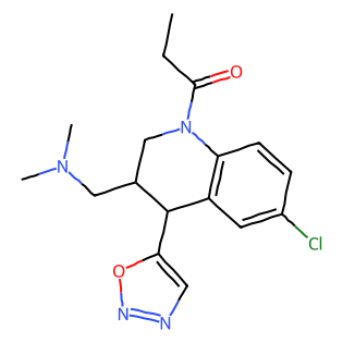 CCC(=O)N1CC(CN(C)C)C(c2cnno2)c2cc(Cl)ccc21